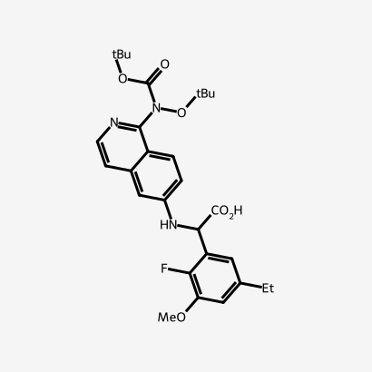 CCc1cc(OC)c(F)c(C(Nc2ccc3c(N(OC(C)(C)C)C(=O)OC(C)(C)C)nccc3c2)C(=O)O)c1